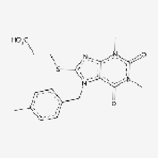 Cc1ccc(Cn2c(SCCC(=O)O)nc3c2c(=O)n(C)c(=O)n3C)cc1